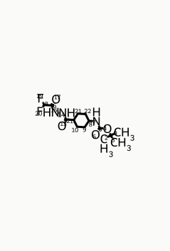 CC(C)(C)OC(=O)NC1CCC(C(=O)NNC(=O)C(F)F)CC1